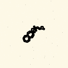 COCCC(C)(C)OC1(C)C=CC2=CCCCC=C2C=C1